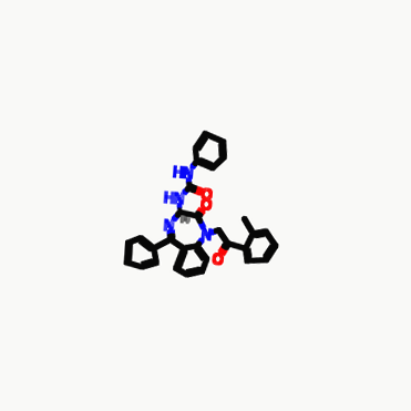 Cc1ccccc1C(=O)CN1C(=O)[C@H](NC(=O)Nc2ccccc2)N=C(c2ccccc2)c2ccccc21